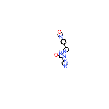 Cn1c(N2CCCC(c3ccc(N4CCOCC4)cc3)C2)nc(-c2ccncn2)cc1=O